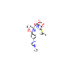 CS[C@H]1CN(C(=O)[C@@H](NC(=O)c2ccc(N3CCN(C4CCC4)CC3)cc2)C2CCCC2)[C@@H]2C(=O)CO[C@H]12